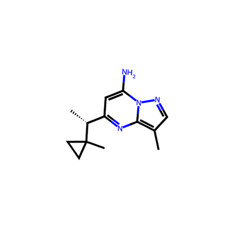 Cc1cnn2c(N)cc([C@@H](C)C3(C)CC3)nc12